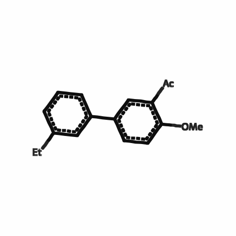 CCc1cccc(-c2ccc(OC)c(C(C)=O)c2)c1